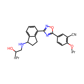 CCCC(O)CNC1CCc2c(-c3noc(-c4ccc(OC(C)C)c(C#N)c4)n3)cccc21